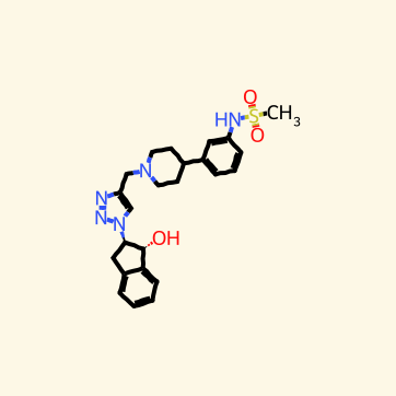 CS(=O)(=O)Nc1cccc(C2CCN(Cc3cn([C@@H]4Cc5ccccc5[C@H]4O)nn3)CC2)c1